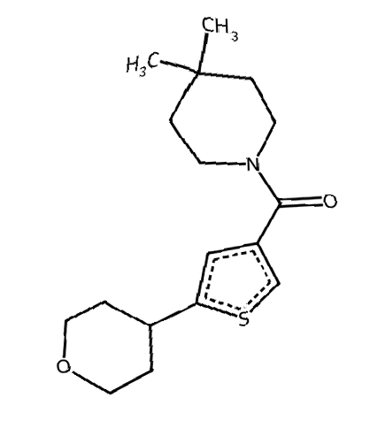 CC1(C)CCN(C(=O)c2csc(C3CCOCC3)c2)CC1